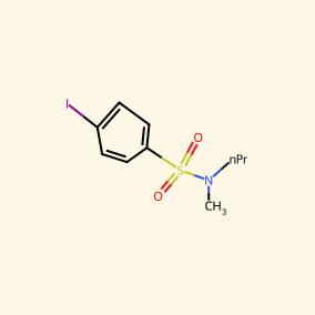 CCCN(C)S(=O)(=O)c1ccc(I)cc1